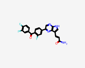 NC(=O)C=Cc1c[nH]c2ncc(-c3ccc(C(=O)c4ccc(F)c(F)c4)c(F)c3)nc12